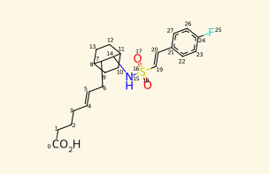 O=C(O)CCCC=CCC1C2CCC(CC2)C1NS(=O)(=O)C=Cc1ccc(F)cc1